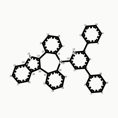 c1ccc(-c2cc(-c3ccccc3)nc(N3c4ccccc4-c4sc5ccccc5c4-c4ccccc43)c2)cc1